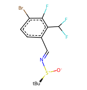 CC(C)(C)[S@+]([O-])/N=C/c1ccc(Br)c(F)c1C(F)F